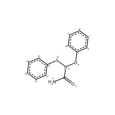 NC(=O)N(Oc1ccccc1)Sc1ccccc1